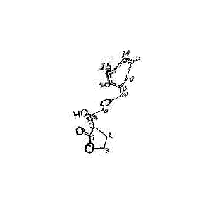 O=C1OCCC1[C@@H](O)COCc1ccccc1